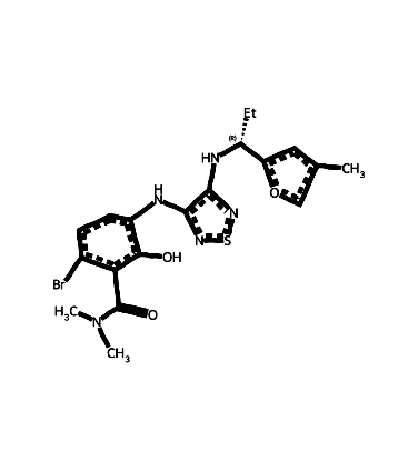 CC[C@@H](Nc1nsnc1Nc1ccc(Br)c(C(=O)N(C)C)c1O)c1cc(C)co1